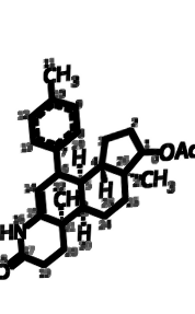 CC(=O)OC1CC[C@H]2[C@@H]3C(c4ccc(C)cc4)C=C4NC(=O)CC[C@]4(C)[C@@H]3CC[C@]12C